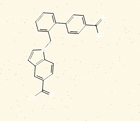 O=C(O)c1ccc(-c2ccccc2Cn2ccc3cc(C(=O)O)ccc32)cc1